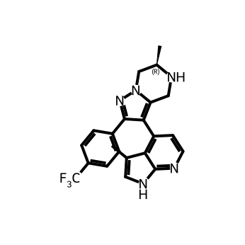 Cc1c[nH]c2nccc(-c3c(-c4ccc(C(F)(F)F)cc4)nn4c3CN[C@H](C)C4)c12